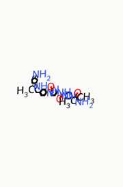 CC(Cc1ccc(-n2ccc(NC(=O)N3CCN(C(=O)C(C)(C)N)CC3)nc2=O)cc1)N[C@H]1CC[C@@H](N)C1